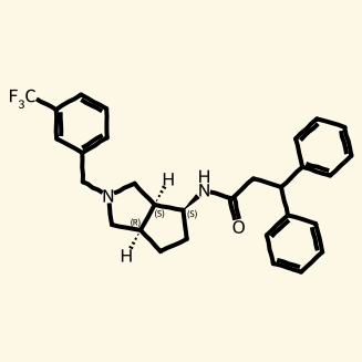 O=C(CC(c1ccccc1)c1ccccc1)N[C@H]1CC[C@H]2CN(Cc3cccc(C(F)(F)F)c3)C[C@H]21